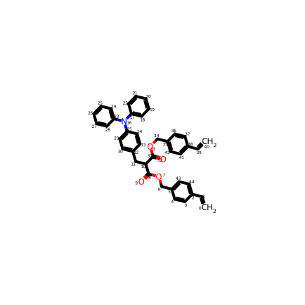 C=Cc1ccc(COC(=O)C(Cc2ccc(N(c3ccccc3)c3ccccc3)cc2)C(=O)OCc2ccc(C=C)cc2)cc1